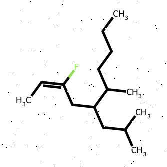 C/C=C(/F)CC(CC(C)C)C(C)CCCC